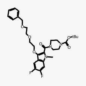 Cn1c(C(=O)N2CCN(C(=O)OC(C)(C)C)CC2)c(OCCOCCOCc2ccccc2)c2cc(F)c(F)cc21